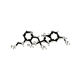 Cc1c(OCC(F)(F)F)ccnc1CC(C)(O)c1nc2cc(OC(F)(F)F)ccc2[nH]1